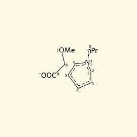 CCC[n+]1ccccc1.COCC(=O)[O-]